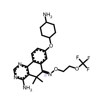 CC1(C)/C(=N/OCCOC(F)(F)F)c2cc(OC3CCC(N)CC3)ccc2-c2ncnc(N)c21